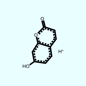 O=c1ccc2ccc(O)cc2o1.[H+]